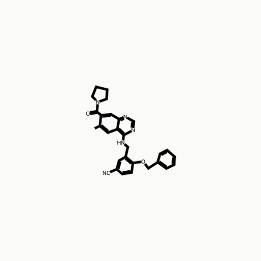 Cc1cc2c(NCc3cc(C#N)ccc3OCc3ccccc3)ncnc2cc1C(=O)N1CCCC1